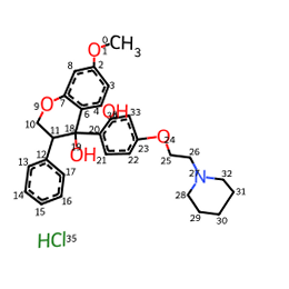 COc1cc(O)c2c(c1)OCC(c1ccccc1)C2(O)c1ccc(OCCN2CCCCC2)cc1.Cl